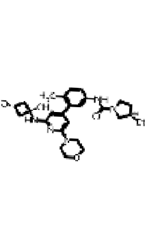 CC[C@@H]1CCN(C(=O)Nc2ccc(C)c(-c3cc(N[C@]4(C)C[C@H](O)C4)nc(N4CCOCC4)c3)c2)C1